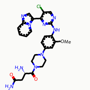 COc1cc(N2CCN(C(=O)[C@@H](N)CC(N)=O)CC2)ccc1Nc1ncc(Cl)c(-c2cnc3ccccn23)n1